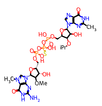 COC1[C@@H](O)[C@@H](COP(=O)(O)OP(O)(=S)OP(=O)(O)OC[C@H]2O[C@@H](n3cnc4c(=O)[nH]c(C)nc43)C(O)[C@H]2OC(C)C)O[C@H]1n1c[n+](C)c2c(=O)[nH]c(N)nc21